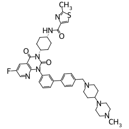 Cc1nc(C(=O)N[C@H]2CC[C@@H](n3c(=O)c4cc(F)cnc4n(-c4cccc(-c5ccc(CN6CCC(N7CCN(C)CC7)CC6)cc5)c4)c3=O)CC2)cs1